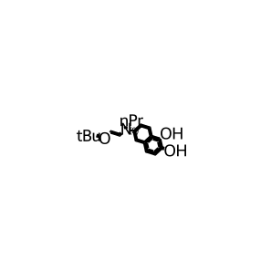 CCCN(CCOC(C)(C)C)[C@H]1CCc2c(ccc(O)c2O)C1